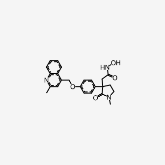 Cc1cc(COc2ccc(C3(CC(=O)NO)CCN(C)C3=O)cc2)c2ccccc2n1